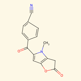 Cn1c(C(=O)c2ccc(C#N)cc2)cc2c1CC(=O)O2